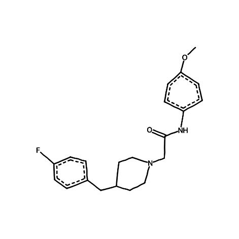 COc1ccc(NC(=O)CN2CCC(Cc3ccc(F)cc3)CC2)cc1